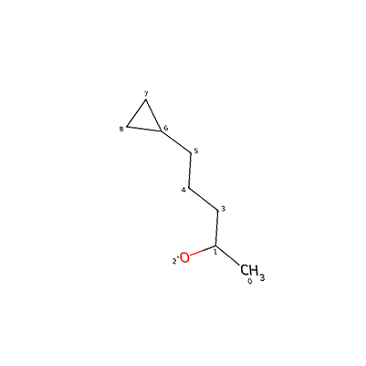 CC([O])CCCC1CC1